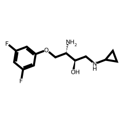 N[C@@H](COc1cc(F)cc(F)c1)[C@H](O)CNC1CC1